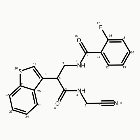 N#CCNC(=O)C(CNC(=O)c1ccccc1F)c1csc2ccccc12